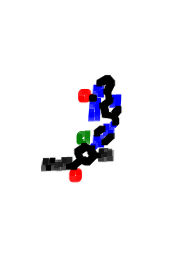 CCc1cc(C(=O)NC)cc(Cl)c1N1CCN(Cc2cnc3c(c2)[nH]c(=O)n2cccc32)CC1